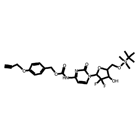 C#CCOc1ccc(COC(=O)Nc2ccn(C3OC(CO[Si](C)(C)C(C)(C)C)C(O)C3(F)F)c(=O)n2)cc1